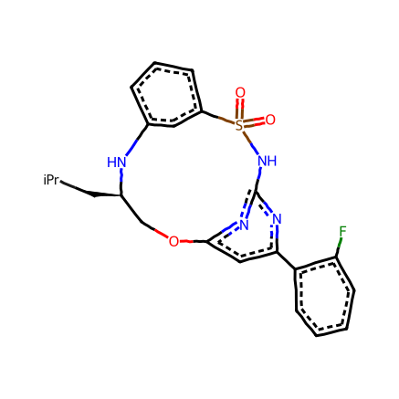 CC(C)C[C@@H]1COc2cc(-c3ccccc3F)nc(n2)NS(=O)(=O)c2cccc(c2)N1